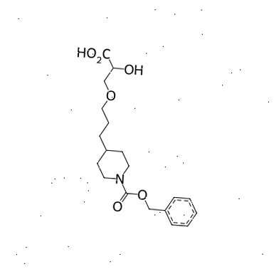 O=C(O)C(O)COCCCC1CCN(C(=O)OCc2ccccc2)CC1